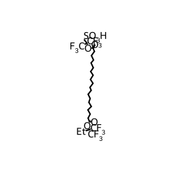 CCC(OC(=O)CCCCCCCCCCCCCCCCCCC(=O)OC(CS(=O)(=O)O)(C(F)(F)F)C(F)(F)F)(C(F)(F)F)C(F)(F)F